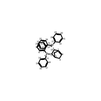 C1=C2CC(C1)[C@@H](P(c1ccccc1)c1ccccc1)[C@@H]2P(c1ccccc1)c1ccccc1